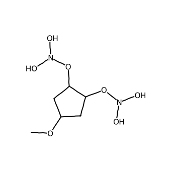 COC1CC(ON(O)O)C(ON(O)O)C1